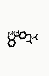 CC(C)N(Cc1ccc(C2NN=Cc3ccccc32)cc1)C(C)C